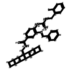 Cc1ccccc1CNC(=N)Nc1ccc(C(=O)NCC23C4C5CCC5C4C2C2C4CCC4C23)cc1OCc1ccccc1